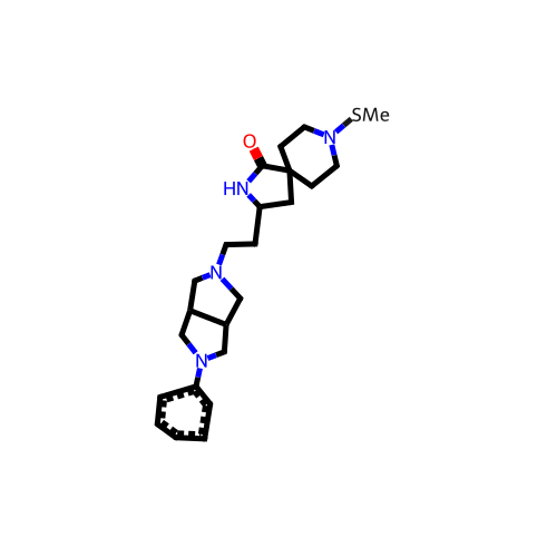 CSN1CCC2(CC1)CC(CCN1CC3CN(c4ccccc4)CC3C1)NC2=O